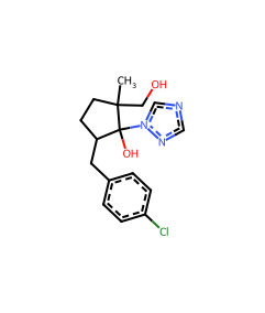 CC1(CO)CCC(Cc2ccc(Cl)cc2)C1(O)n1cncn1